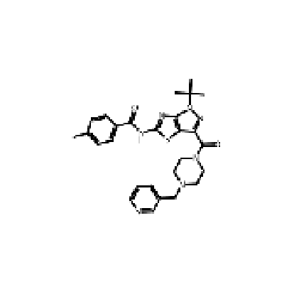 Cc1ccc(C(=O)Nc2nc3c(s2)c(C(=O)N2CCN(Cc4cccnc4)CC2)nn3C(C)(C)C)cc1